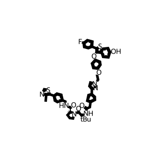 Cc1ncsc1-c1ccc(CNC(=O)[C@@H]2CCCN2C(=O)[C@@H](NC(=O)Cc2ccc(-c3ccn(CCOc4ccc(Oc5c(-c6ccc(F)cc6)sc6cc(O)ccc56)cc4)n3)cc2)C(C)(C)C)cc1